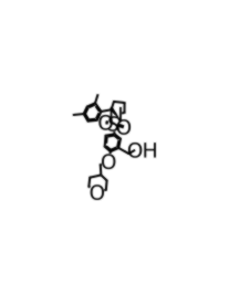 Cc1ccc(C2CCCN2S(=O)(=O)c2ccc(OCC3CCOCC3)c(CO)c2)c(C)c1